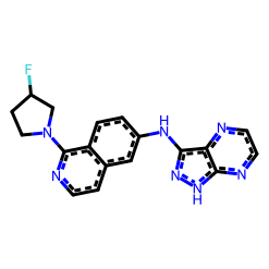 FC1CCN(c2nccc3cc(Nc4n[nH]c5nccnc45)ccc23)C1